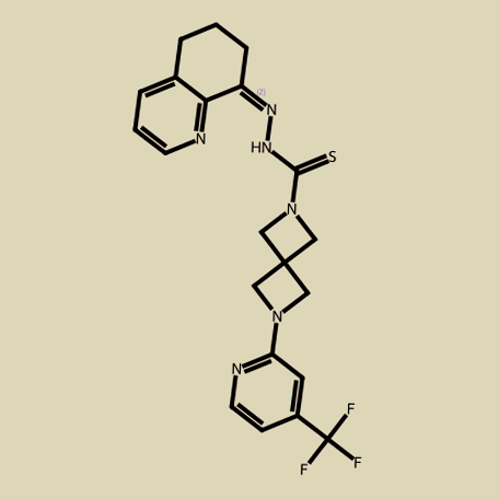 FC(F)(F)c1ccnc(N2CC3(CN(C(=S)N/N=C4/CCCc5cccnc54)C3)C2)c1